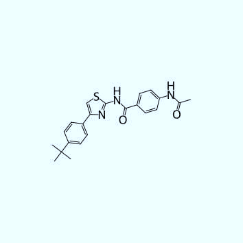 CC(=O)Nc1ccc(C(=O)Nc2nc(-c3ccc(C(C)(C)C)cc3)cs2)cc1